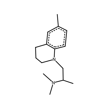 Cc1ccc2c(c1)CCCN2CC(C)N(C)C